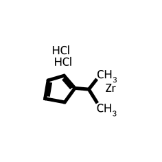 CC(C)C1=CC=CC1.Cl.Cl.[Zr]